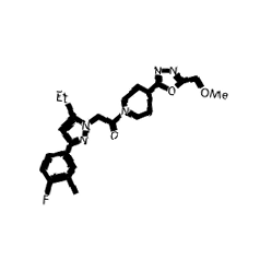 CCc1cc(-c2ccc(F)c(C)c2)nn1CC(=O)N1CCC(c2nnc(COC)o2)CC1